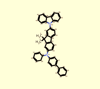 CC1(C)c2cc(N(c3ccc(-c4ccccc4)cc3)C3C=CC=CC3)ccc2-c2ccc(-n3c4ccccc4c4ccccc43)cc21